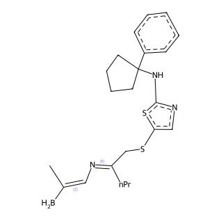 B/C(C)=C/N=C(\CCC)CSc1cnc(NC2(c3ccccc3)CCCC2)s1